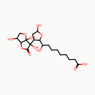 O=C(O)CCCCCCCC(O)C1OC(O)CC1C1(O)C(=O)OC2C(O)COC21O